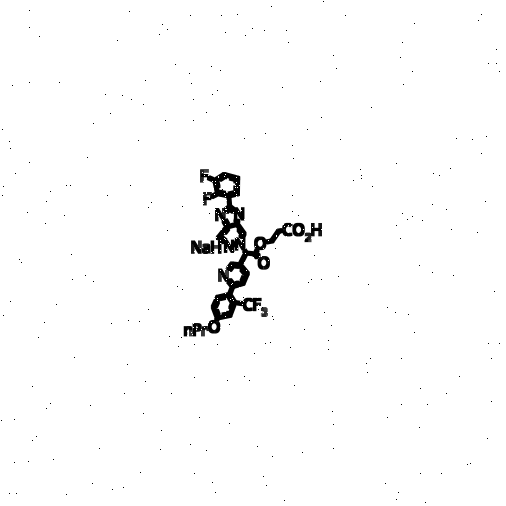 CCCOc1ccc(-c2ccc(C(C(=O)OCCC(=O)O)n3cc4nc(-c5cccc(F)c5F)nc-4cn3)cn2)c(C(F)(F)F)c1.[NaH]